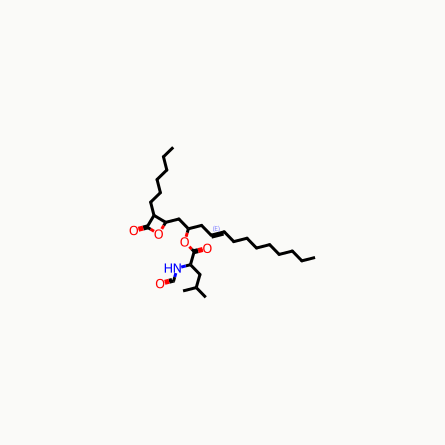 CCCCCCCC/C=C/CC(CC1OC(=O)C1CCCCCC)OC(=O)C(CC(C)C)NC=O